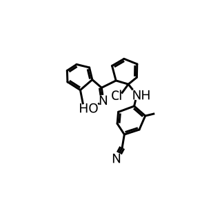 Cc1cc(C#N)ccc1NC1(Cl)C=CC=CC1C(=NO)c1ccccc1C